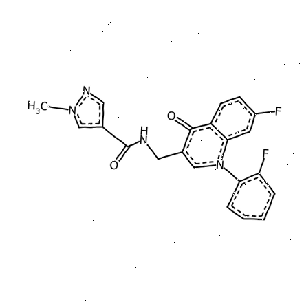 Cn1cc(C(=O)NCc2cn(-c3ccccc3F)c3cc(F)ccc3c2=O)cn1